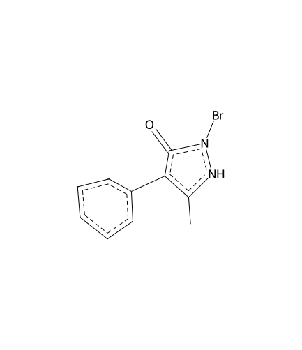 Cc1[nH]n(Br)c(=O)c1-c1ccccc1